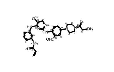 C=CC(=O)Nc1cccc(Nc2nc(Nc3ccc(N4CCN(C(=O)CO)CC4)cc3C=O)ncc2Cl)c1